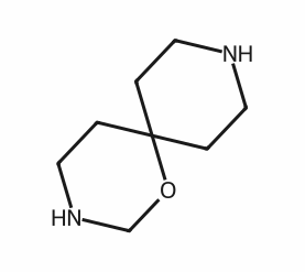 C1CC2(CCN1)CCNCO2